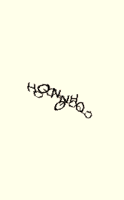 O=C(NCCN1CCC(O)(c2ccccc2)CC1)c1ccc(OCc2ccccc2)cc1